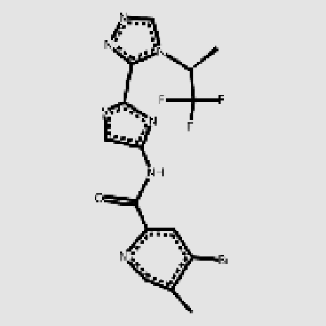 Cc1cnc(C(=O)Nc2csc(-c3nncn3[C@@H](C)C(F)(F)F)n2)cc1Br